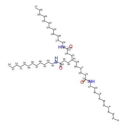 CCCCCCCCCCCCNC(=O)CCCCCC(CCC(=O)NCCCCCCCCCCCC)CCC(=O)NCCCCCCCCCCCC